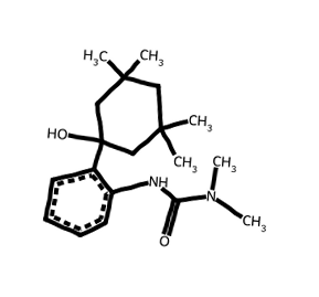 CN(C)C(=O)Nc1ccccc1C1(O)CC(C)(C)CC(C)(C)C1